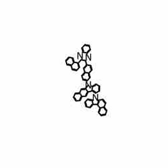 c1ccc2cc3c(cc2c1)c1c(-n2c4ccccc4c4c5ccccc5ccc42)cccc1n3-c1ccc2cc(-c3nc4ccccc4nc3-c3cccc4ccccc34)ccc2c1